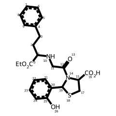 CCOC(=O)C(CCc1ccccc1)NCC(=O)N1C(C(=O)O)CSC1c1ccccc1O